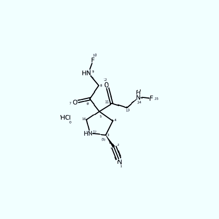 Cl.N#C[C@@H]1CC(C(=O)CNF)(C(=O)CNF)CN1